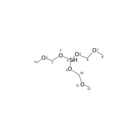 COCO[SiH](OCOC)OCOC